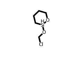 ClCO[SiH]1CCCCO1